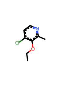 CCOc1c(Cl)ccnc1C